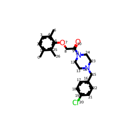 Cc1ccc(C)c(OCC(=O)N2CCN(Cc3ccc(Cl)cc3)CC2)c1C